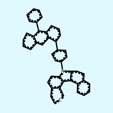 c1ccc(-c2c3ccccc3cc3c(-c4ccc(-n5c6ccc7ccccc7c6c6c7ccccc7ccc65)cc4)cccc23)cc1